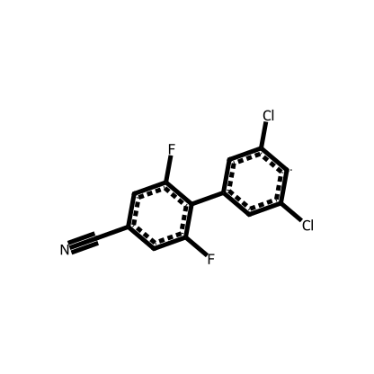 N#Cc1cc(F)c(-c2cc(Cl)[c]c(Cl)c2)c(F)c1